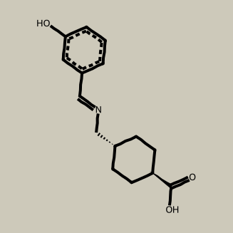 O=C(O)[C@H]1CC[C@H](CN=Cc2cccc(O)c2)CC1